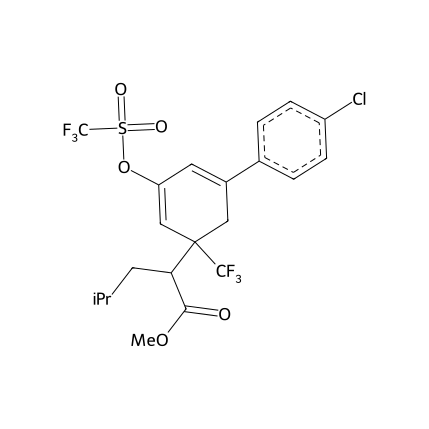 COC(=O)C(CC(C)C)C1(C(F)(F)F)C=C(OS(=O)(=O)C(F)(F)F)C=C(c2ccc(Cl)cc2)C1